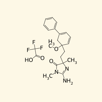 COC1(CCC2(C)N=C(N)N(C)C2=O)C=CC=C(c2ccccc2)C1.O=C(O)C(F)(F)F